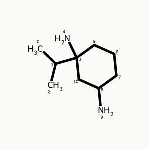 CC(C)C1(N)CCCC(N)C1